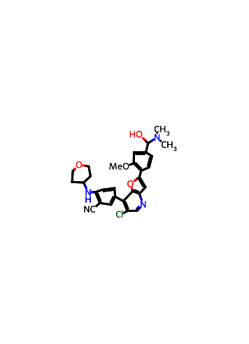 COc1cc(C(O)N(C)C)ccc1-c1cc2ncc(Cl)c(-c3ccc(NC4CCOCC4)c(C#N)c3)c2o1